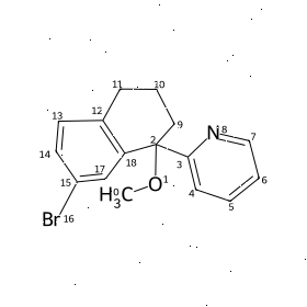 COC1(c2ccccn2)CCCc2ccc(Br)cc21